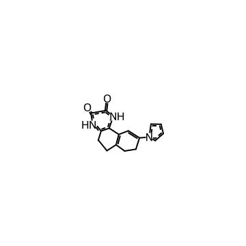 O=c1[nH]c2c([nH]c1=O)C1=C(CCC(n3cccc3)=C1)CC2